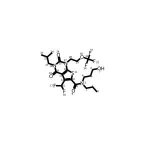 CCCN(CCCO)C(=O)c1sc2c(c1C(F)F)c(=O)n(CC(C)C)c(=O)n2CCOC(F)(F)F